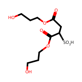 O=C(CC(C(=O)OCCCO)S(=O)(=O)O)OCCCO